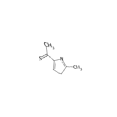 CC(=S)C1=CCC(C)=N1